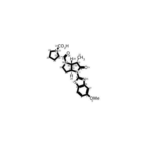 COc1ccc2sc(N3C(=O)[C@@H](C)[C@@H]4[C@@H]3CCN4C(=O)[C@@H]3CCCN3C(=O)O)nc2c1